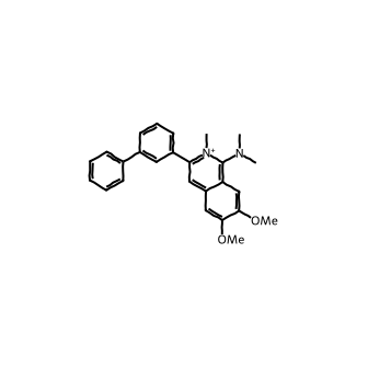 COc1cc2cc(-c3cccc(-c4ccccc4)c3)[n+](C)c(N(C)C)c2cc1OC